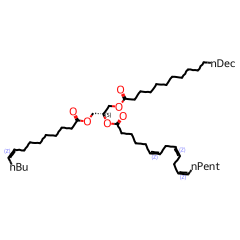 CCCC/C=C\CCCCCCCC(=O)OC[C@H](COC(=O)CCCCCCCCCCCCCCCCCCCC)OC(=O)CCCC/C=C\C/C=C\C/C=C\CCCCC